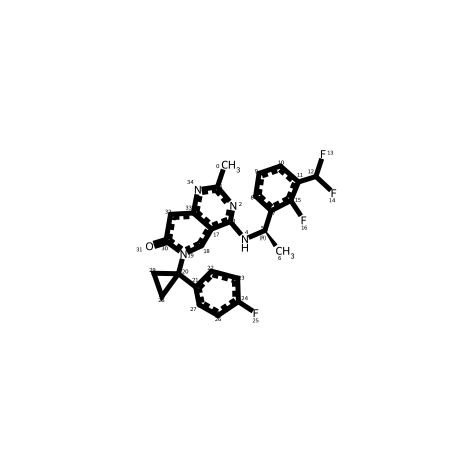 Cc1nc(N[C@H](C)c2cccc(C(F)F)c2F)c2cn(C3(c4ccc(F)cc4)CC3)c(=O)cc2n1